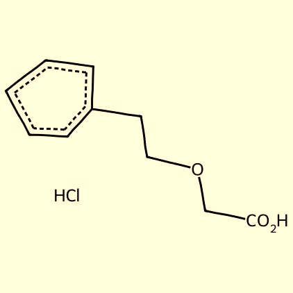 Cl.O=C(O)COCCc1ccccc1